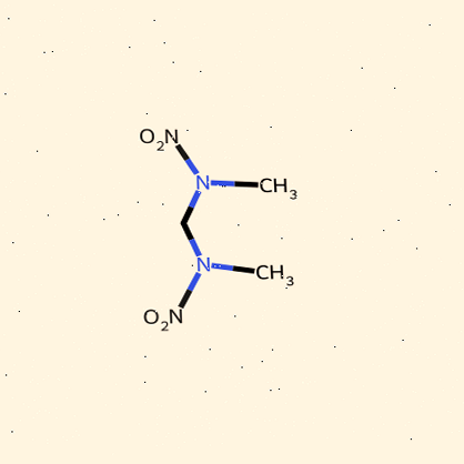 CN(CN(C)[N+](=O)[O-])[N+](=O)[O-]